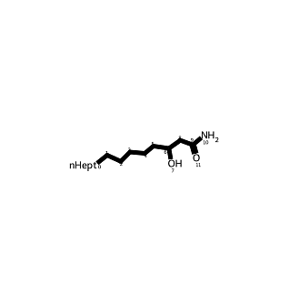 CCCCCCCCCCCCC(O)CC(N)=O